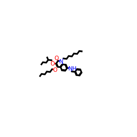 CCCCCCCCn1c(=O)c(OCC(C)CCC)c(OCCCCCC)c2ccc(NCc3ccccc3)cc21